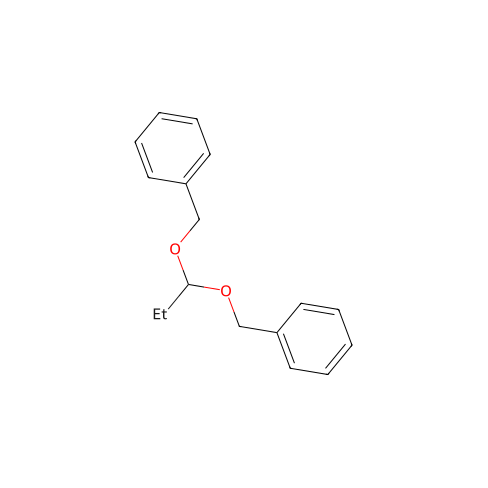 [CH2]CC(OCc1ccccc1)OCc1ccccc1